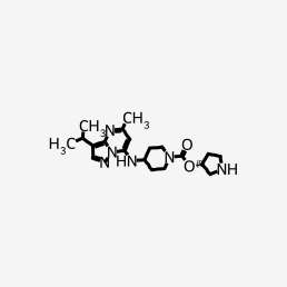 Cc1cc(NC2CCN(C(=O)O[C@@H]3CCNC3)CC2)n2ncc(C(C)C)c2n1